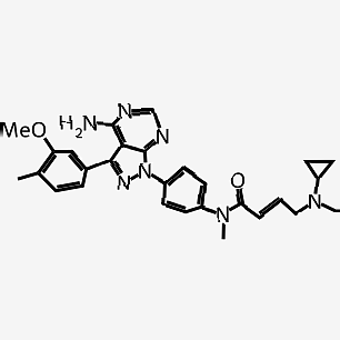 COc1cc(-c2nn(-c3ccc(N(C)C(=O)/C=C/CN(C)C4CC4)cc3)c3ncnc(N)c23)ccc1C